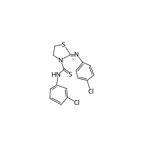 S=C(Nc1cccc(Cl)c1)N1CCS/C1=N/c1ccc(Cl)cc1